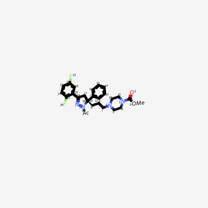 COC(=O)N1CCN(CCC[C@]2(c3ccccc3)CC(c3cc(F)ccc3F)=NN2C(C)=O)CC1